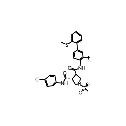 CSc1ccccc1-c1ccc(NC(=O)[C@H]2CN(S(C)(=O)=O)C[C@@H]2C(=O)Nc2ccc(Cl)cc2)c(F)c1